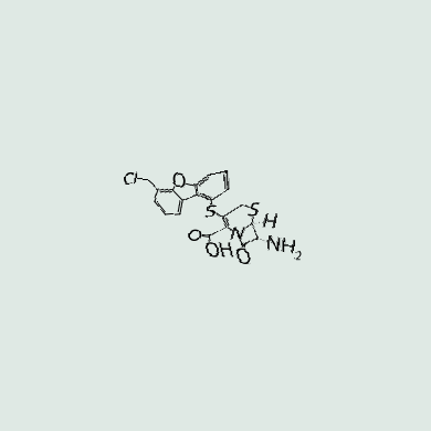 N[C@@H]1C(=O)N2C(C(=O)O)=C(Sc3cccc4oc5c(CCl)cccc5c34)CS[C@@H]12